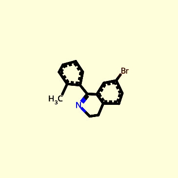 Cc1ccccc1C1=NCCc2ccc(Br)cc21